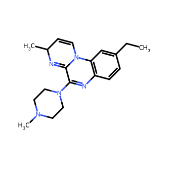 CCc1ccc2c(c1)N1C=CC(C)N=C1C(N1CCN(C)CC1)=N2